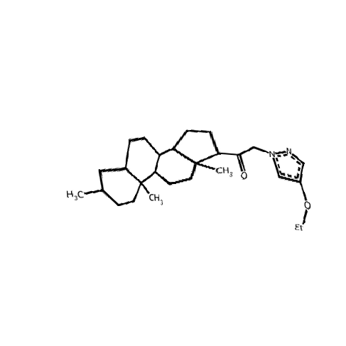 CCOc1cnn(CC(=O)C2CCC3C4CCC5CC(C)CCC5(C)C4CCC23C)c1